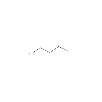 NCCCS